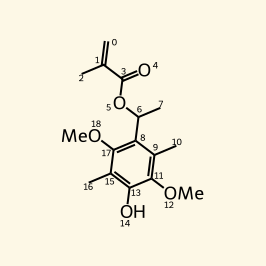 C=C(C)C(=O)OC(C)c1c(C)c(OC)c(O)c(C)c1OC